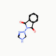 O=C1c2ccccc2C(=O)N1N1CNC=N1